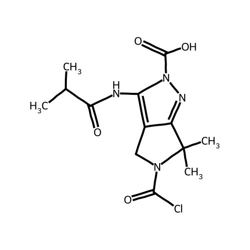 CC(C)C(=O)Nc1c2c(nn1C(=O)O)C(C)(C)N(C(=O)Cl)C2